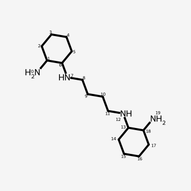 NC1CCCCC1NCCCCNC1CCCCC1N